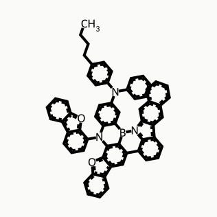 CCCCc1ccc(N(c2ccccc2)c2ccc3c(c2)B2c4c(cc5c(oc6ccccc65)c4N3c3cccc4c3oc3ccccc34)-c3cccc4c5cc6ccccc6cc5n2c34)cc1